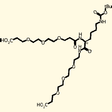 CC(C)(C)OC(=O)NCCCC[C@H](NC(=O)CCOCCOCCOCCC(=O)O)C(=O)NCCOCCOCCOCCC(=O)O